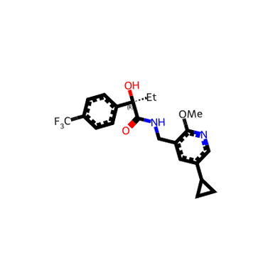 CC[C@](O)(C(=O)NCc1cc(C2CC2)cnc1OC)c1ccc(C(F)(F)F)cc1